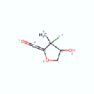 CC1(F)C(=C=O)OCC1O